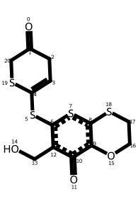 O=C1CC=C(Sc2sc3c(c(=O)c2CO)OCCS3)SC1